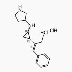 CC/C(=C\c1ccccc1)[C@@H]1C[C@H]1NC1CCNC1.Cl.Cl